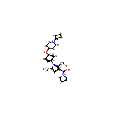 Cc1cc(C(=O)N2CCCC2)c(C)n1-c1ccc(OC2CCN(C3CCC3)CC2)cc1